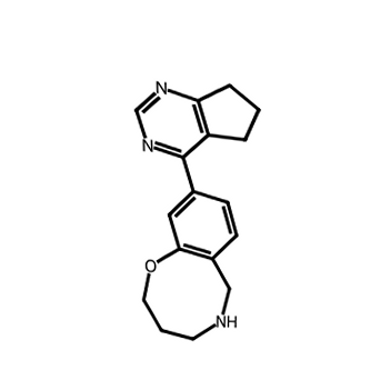 c1nc2c(c(-c3ccc4c(c3)OCCCNC4)n1)CCC2